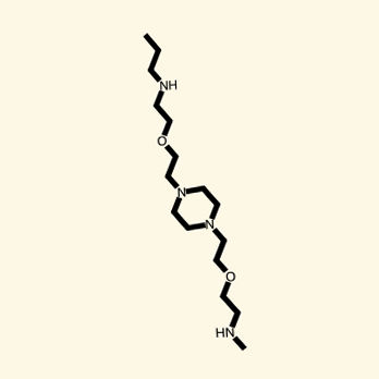 CCCNCCOCCN1CCN(CCOCCNC)CC1